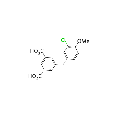 COc1ccc(Cc2cc(C(=O)O)cc(C(=O)O)c2)cc1Cl